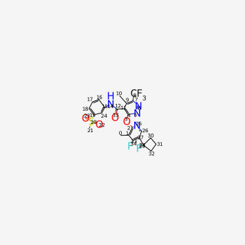 Cc1c(Oc2nnc(C(F)(F)F)c(C)c2C(=O)Nc2cccc(S(C)(=O)=O)c2)ncc(C2(F)CCC2)c1F